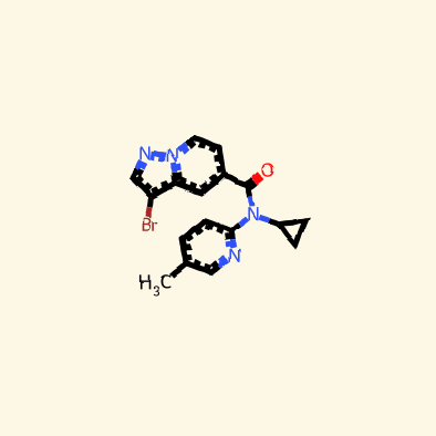 Cc1ccc(N(C(=O)c2ccn3ncc(Br)c3c2)C2CC2)nc1